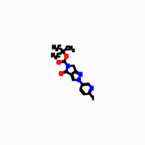 CC(C)(C)OC(=O)N1Cc2nn(-c3ccc(I)nc3)cc2C1=O